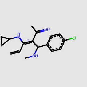 C=C/C(NC1CC1)=C(/C(C)=N)C(NC)c1ccc(Cl)cc1